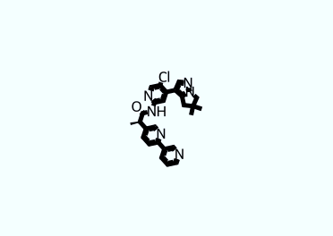 C[C@@H](C(=O)Nc1cc(-c2cnn3c2CC(C)(C)C3)c(Cl)cn1)c1ccc(-c2cccnc2)nc1